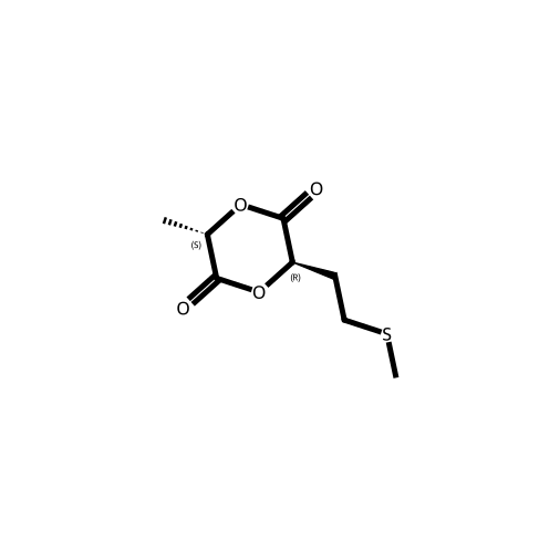 CSCC[C@H]1OC(=O)[C@H](C)OC1=O